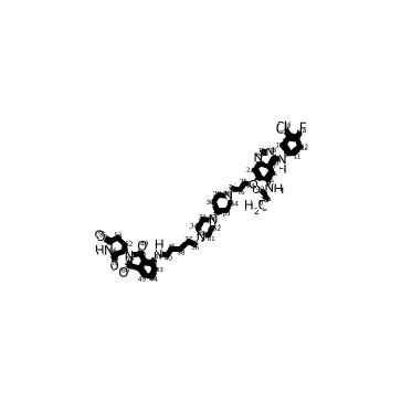 C=CC(=O)Nc1cc2c(Nc3ccc(F)c(Cl)c3)ncnc2cc1OCCCN1CCC(N2CCN(CCCCCNc3cccc4c3C(=O)N(C3CCC(=O)NC3=O)C4=O)CC2)CC1